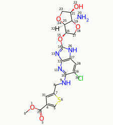 COC(=O)c1csc(CNc2nc3nc(O[C@@H]4CO[C@]5(N)[C@H](O)CO[C@H]45)[nH]c3cc2Cl)c1